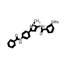 CSc1cccc(C(=O)Nc2cc(-c3ccc(NC(=O)c4ccccc4)cc3)nn2C)c1